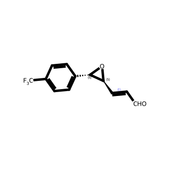 O=C/C=C/[C@@H]1O[C@H]1c1ccc(C(F)(F)F)cc1